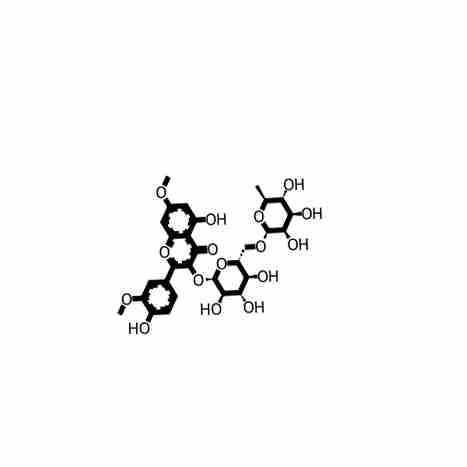 COc1cc(O)c2c(=O)c(O[C@@H]3O[C@H](CO[C@@H]4O[C@@H](C)[C@H](O)[C@@H](O)[C@H]4O)[C@@H](O)[C@H](O)[C@H]3O)c(-c3ccc(O)c(OC)c3)oc2c1